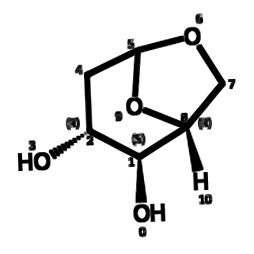 O[C@H]1[C@H](O)CC2OC[C@H]1O2